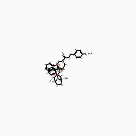 COc1ccc(CCC(=O)N2CCC(CCN3[C@@H]4CC[C@H]3CC(n3c(C)nc5ccccc53)C4)(c3ccccc3)CC2)cc1